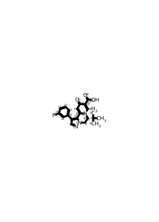 CC(C)(C)[C@@H]1Cn2ncc(-c3cccc(F)c3)c2-c2cc(=O)c(C(=O)O)cn21